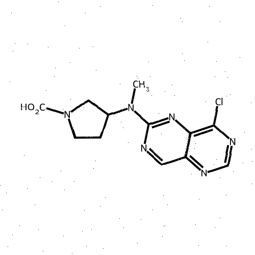 CN(c1ncc2ncnc(Cl)c2n1)C1CCN(C(=O)O)C1